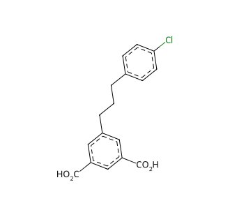 O=C(O)c1cc(CCCc2ccc(Cl)cc2)cc(C(=O)O)c1